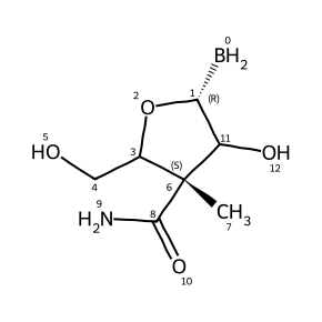 B[C@H]1OC(CO)[C@@](C)(C(N)=O)C1O